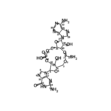 BP1OCC2OC(n3cnc4c(=O)[nH]c(N)nc43)C(OP(=O)(O)OCC3OC(n4cnc5c(N)ncnc54)C(O)C3O1)C2O